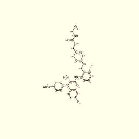 COc1ccc([C@H](c2ccc(F)cc2)[C@H](N)C(=O)Nc2cncc(F)c2CC[C@@H]2CN[C@H](COC(=O)NCC(F)(F)F)CO2)cc1